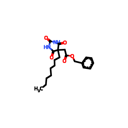 CCCCCCCCC1(CC(=O)OCc2ccccc2)C(=O)NC(=O)NC1=O